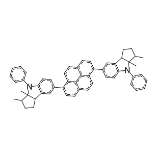 CC1CCC2c3cc(-c4ccc5ccc6c(-c7ccc8c(c7)C7CCC(C)C7(C)N8c7ccccc7)ccc7ccc4c5c76)ccc3N(c3ccccc3)C12C